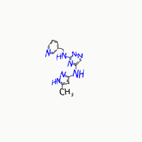 Cc1cc(Nc2cnnc(NCc3cccnc3)n2)n[nH]1